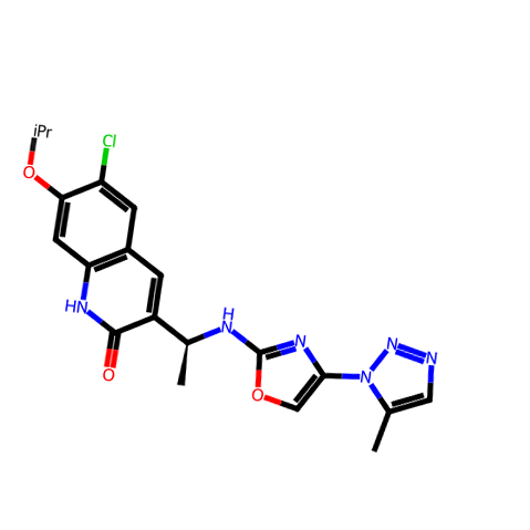 Cc1cnnn1-c1coc(N[C@@H](C)c2cc3cc(Cl)c(OC(C)C)cc3[nH]c2=O)n1